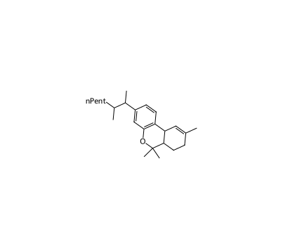 CCCCCC(C)C(C)c1ccc2c(c1)OC(C)(C)C1CCC(C)=CC21